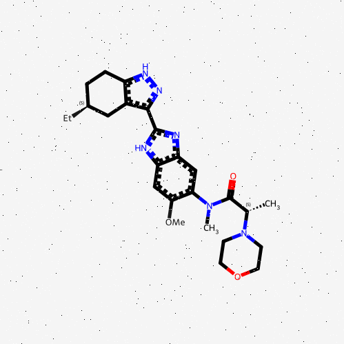 CC[C@H]1CCc2[nH]nc(-c3nc4cc(N(C)C(=O)[C@H](C)N5CCOCC5)c(OC)cc4[nH]3)c2C1